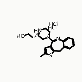 Cc1cc2c(s1)Cc1ccccc1N=C2N1CCN[C@@H](CCO)C1.Cl.Cl